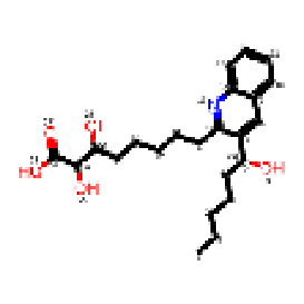 CCCCC[C@H](O)c1cc2ccccc2nc1CCCCCC(O)C(O)C(=O)O